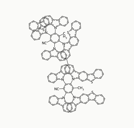 Cc1c(-n2c3ccccc3c3cc4c(cc32)sc2ccccc24)c(-n2c3ccccc3c3ccccc32)c(C#N)c(-n2c3ccccc3c3ccccc32)c1-n1c2ccc(-c3ccc4c(c3)c3ccc5c6ccccc6sc5c3n4-c3c(C)c(-n4c5ccccc5c5ccc6c7ccccc7sc6c54)c(-n4c5ccccc5c5ccccc54)c(C#N)c3-n3c4ccccc4c4ccccc43)cc2c2cc3c(cc21)sc1ccccc13